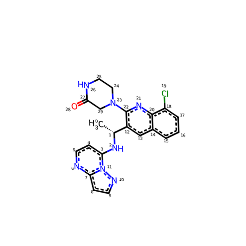 C[C@@H](Nc1ccnc2ccnn12)c1cc2cccc(Cl)c2nc1N1CCNC(=O)C1